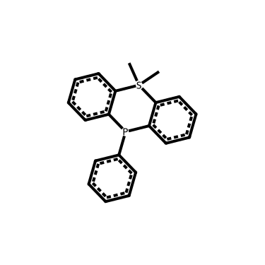 CS1(C)c2ccccc2P(c2ccccc2)c2ccccc21